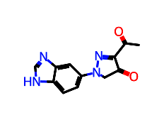 CC(=O)C1=NN(c2ccc3[nH]cnc3c2)CC1=O